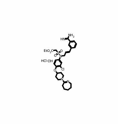 CCOC(=O)CS(=O)(=O)N(C/C=C/c1cccc(C(=N)N)c1)c1ccc(OC2CCN(C3=NCCCCC3)CC2)c(Cl)c1.Cl.Cl